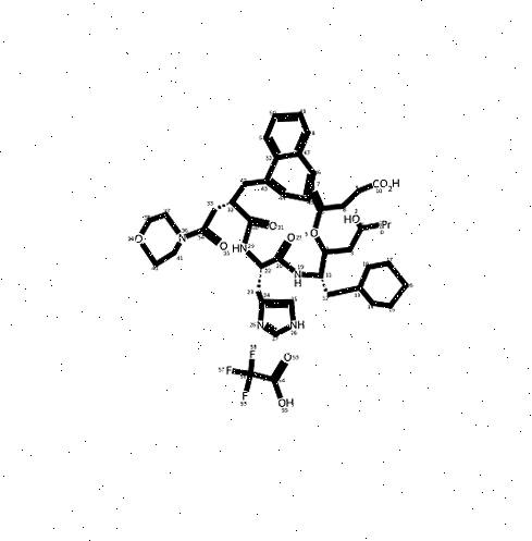 CC(C)C(O)CC(OC(=O)CCC(=O)O)[C@H](CC1CCCCC1)NC(=O)[C@H](Cc1c[nH]cn1)NC(=O)[C@H](CC(=O)N1CCOCC1)Cc1cccc2ccccc12.O=C(O)C(F)(F)F